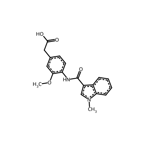 COc1cc(CC(=O)O)ccc1NC(=O)c1cn(C)c2ccccc12